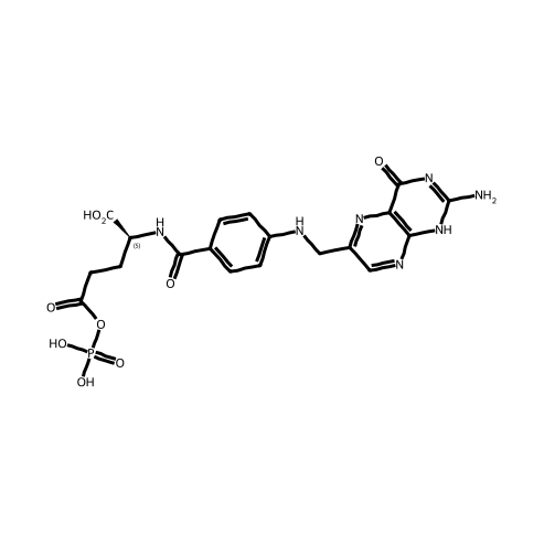 Nc1nc(=O)c2nc(CNc3ccc(C(=O)N[C@@H](CCC(=O)OP(=O)(O)O)C(=O)O)cc3)cnc2[nH]1